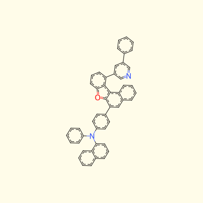 c1ccc(-c2cncc(-c3cccc4oc5c(-c6ccc(N(c7ccccc7)c7cccc8ccccc78)cc6)cc6ccccc6c5c34)c2)cc1